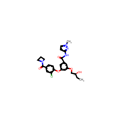 CC[C@H](O)COc1cc(Oc2ccc(C(=O)N3CCC3)cc2Cl)cc(C(=O)Nc2ccn(C)n2)c1